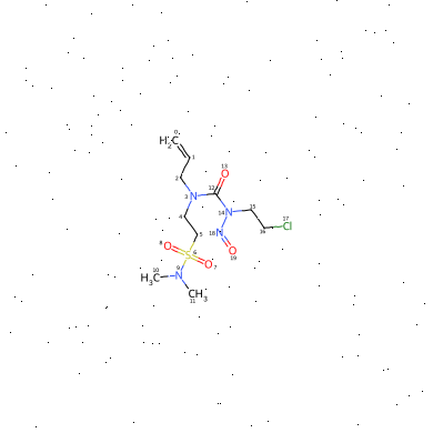 C=CCN(CCS(=O)(=O)N(C)C)C(=O)N(CCCl)N=O